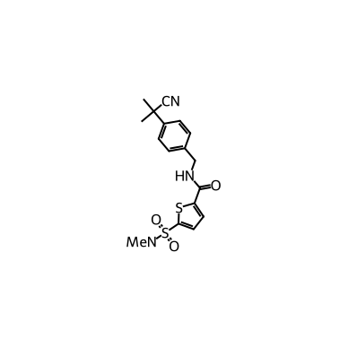 CNS(=O)(=O)c1ccc(C(=O)NCc2ccc(C(C)(C)C#N)cc2)s1